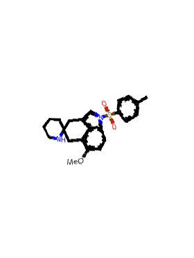 COc1ccc2c3c(cn2S(=O)(=O)c2ccc(C)cc2)CC2(CCCCN2)Cc13